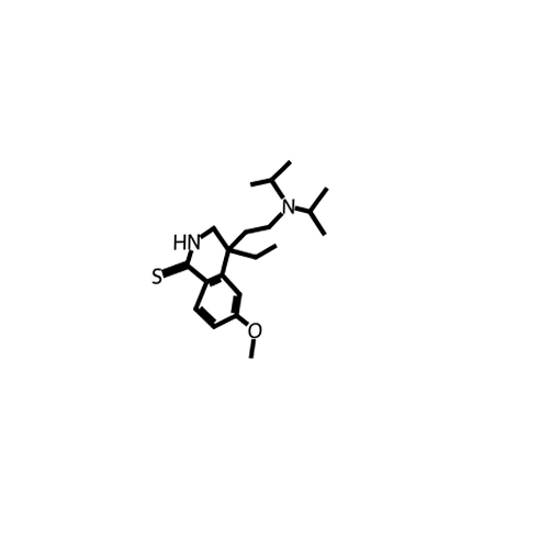 CCC1(CCN(C(C)C)C(C)C)CNC(=S)c2ccc(OC)cc21